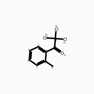 Cc1ccccc1C(=O)C(Cl)(Cl)Cl